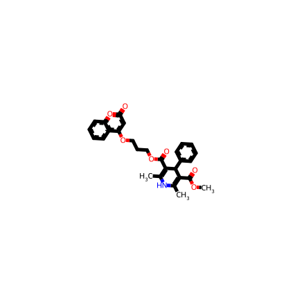 COC(=O)C1=C(C)NC(C)=C(C(=O)OCCCOc2cc(=O)oc3ccccc23)C1c1ccccc1